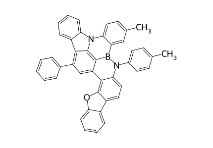 Cc1ccc(N2B3c4cc(C)ccc4-n4c5ccccc5c5c(-c6ccccc6)cc(c3c54)-c3c2ccc2c3oc3ccccc32)cc1